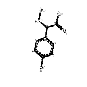 CC(C)(C)NC(C(=O)C(C)(C)C)c1ccc(O)cc1